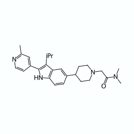 Cc1cc(-c2[nH]c3ccc(C4CCN(CC(=O)N(C)C)CC4)cc3c2C(C)C)ccn1